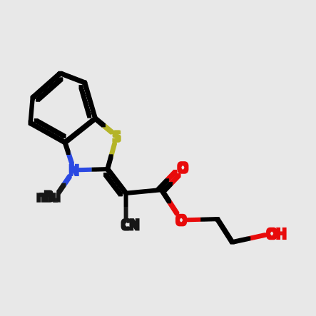 CCCCN1/C(=C(\C#N)C(=O)OCCO)Sc2ccccc21